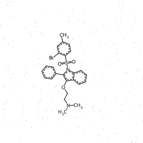 Cc1ccc(S(=O)(=O)n2c(-c3ccccc3)c(OCCN(C)C)c3ccccc32)c(Br)c1